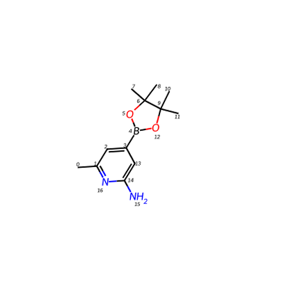 Cc1cc(B2OC(C)(C)C(C)(C)O2)cc(N)n1